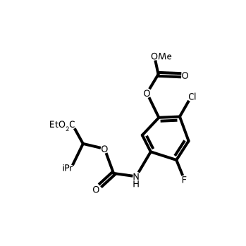 CCOC(=O)C(OC(=O)Nc1cc(OC(=O)OC)c(Cl)cc1F)C(C)C